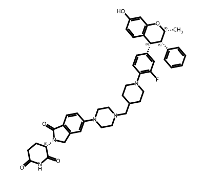 C[C@H]1Oc2cc(O)ccc2[C@@H](c2ccc(N3CCC(CN4CCN(c5ccc6c(c5)CN([C@H]5CCC(=O)NC5=O)C6=O)CC4)CC3)c(F)c2)[C@H]1c1ccccc1